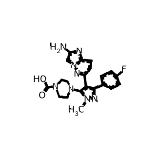 Cn1nc(-c2ccc(F)cc2)c(-c2ccc3nc(N)cn3n2)c1N1CCN(C(=O)O)CC1